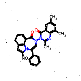 Cc1cc(C)c2nc(C)n(N3C=C(c4ccccc4)n4c([N+](=O)[O-])cc5c4C(=CCC5)C3=O)c(=O)c2c1